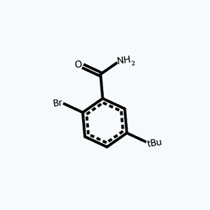 CC(C)(C)c1ccc(Br)c(C(N)=O)c1